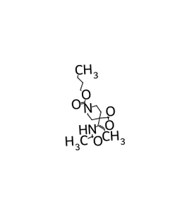 CCCCOC(=O)N1CCC2(CC1)C(=O)OC(C)=C2NC(C)=O